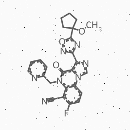 COC1(c2nc(-c3ncn4c3c(=O)n(Cc3ccccn3)c3c(C#N)c(F)ccc34)no2)CCCC1